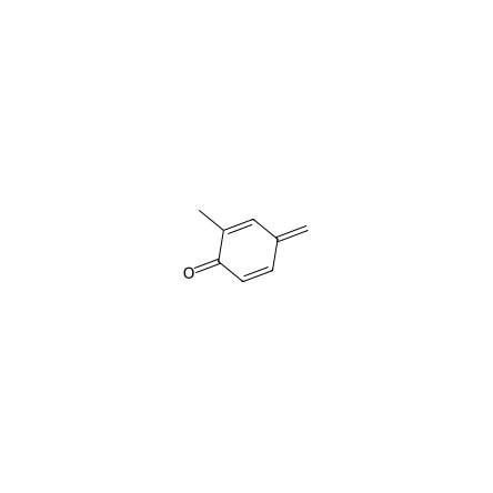 C=C1C=CC(=O)C(C)=C1